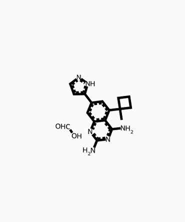 CC1(c2cc(-c3ccn[nH]3)cc3nc(N)nc(N)c23)CCC1.O=CO